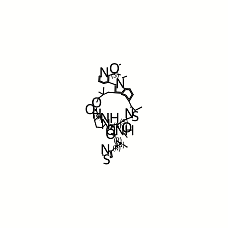 CCO[C@@H]1C2=NC(c3ccc4c(c3)c(c(-c3cccnc3[C@H](C)OC)n4CC)CC(C)(C)COC(=O)[C@@H]3CCCN(N3)C(=O)[C@H]1NC(=O)[C@@H]1[C@@H](C)[C@H]1c1cscn1)C(C)S2